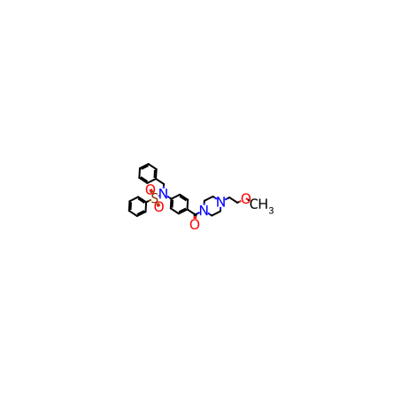 COCCN1CCN(C(=O)c2ccc(N(Cc3ccccc3)S(=O)(=O)c3ccccc3)cc2)CC1